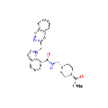 COC(=O)[C@H]1CC[C@H](CNC(=O)c2cccc3ccn(Cc4cc5ccccc5cn4)c23)CC1